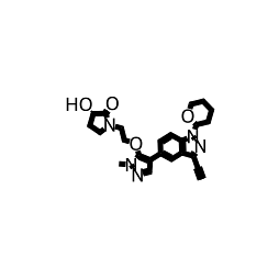 C#Cc1nn(C2CCCCO2)c2ccc(-c3cnn(C)c3OCCN3CC[C@H](O)C3=O)cc12